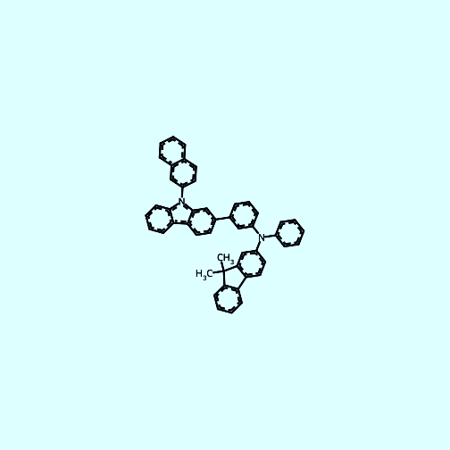 CC1(C)c2ccccc2-c2ccc(N(c3ccccc3)c3cccc(-c4ccc5c6ccccc6n(-c6ccc7ccccc7c6)c5c4)c3)cc21